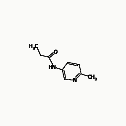 CCC(=O)Nc1ccc(C)nc1